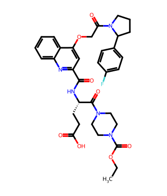 CCOC(=O)N1CCN(C(=O)[C@H](CCC(=O)O)NC(=O)c2cc(OCC(=O)N3CCCC3c3ccc(F)cc3)c3ccccc3n2)CC1